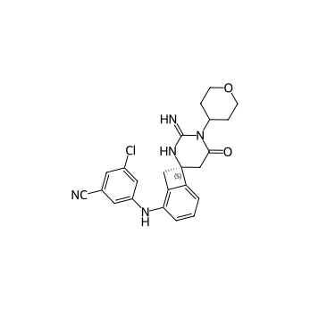 N#Cc1cc(Cl)cc(Nc2cccc3c2C[C@]32CC(=O)N(C3CCOCC3)C(=N)N2)c1